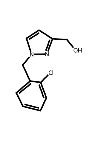 OCc1ccn(Cc2ccccc2Cl)n1